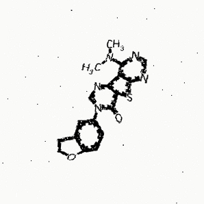 CN(C)c1ncnc2sc3c(=O)n(-c4ccc5c(c4)CCO5)cnc3c12